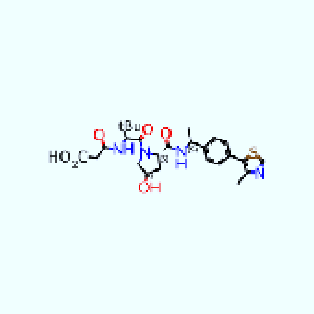 Cc1ncsc1-c1ccc([C@H](C)NC(=O)[C@@H]2C[C@@H](O)CN2C(=O)C(NC(=O)CC(=O)O)C(C)(C)C)cc1